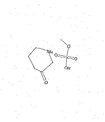 COS(=O)(=O)O.O=C1CCCNC1